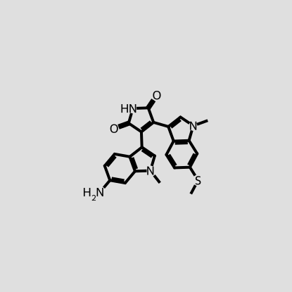 CSc1ccc2c(C3=C(c4cn(C)c5cc(N)ccc45)C(=O)NC3=O)cn(C)c2c1